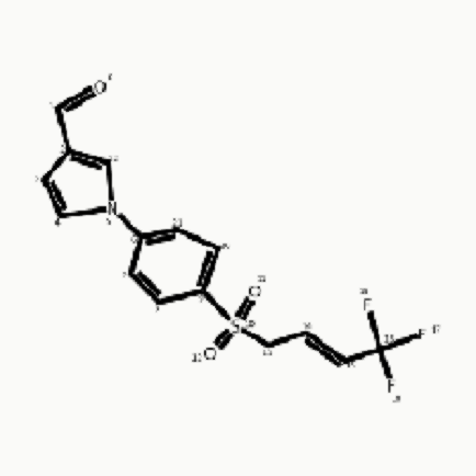 O=Cc1ccn(-c2ccc(S(=O)(=O)CC=CC(F)(F)F)cc2)c1